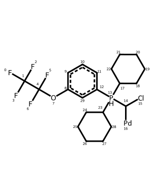 FC(F)(F)C(F)(F)Oc1cccc([PH]([CH](Cl)[Pd])(C2CCCCC2)C2CCCCC2)c1